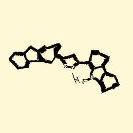 Cn1c2ccccc2c2cccc(C3=NN=C(c4ccc5c(c4)-c4ccccc4C5)C3)c21